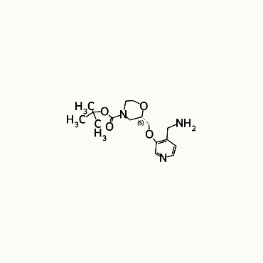 CC(C)(C)OC(=O)N1CCO[C@H](COc2cnccc2CN)C1